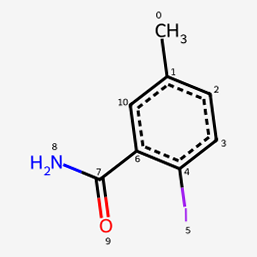 Cc1ccc(I)c(C(N)=O)c1